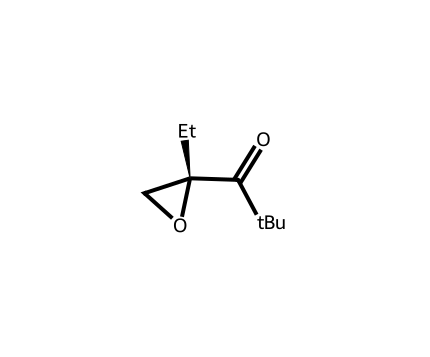 CC[C@]1(C(=O)C(C)(C)C)CO1